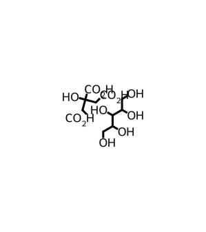 O=C(O)CC(O)(CC(=O)O)C(=O)O.OCC(O)C(O)C(O)CO